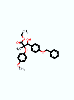 CCOC(=O)C(C)(Oc1ccc(OC)cc1)C(O)c1ccc(OCc2ccccc2)cc1